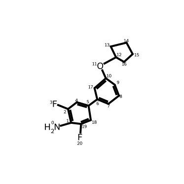 Nc1c(F)cc(-c2cccc(OC3CCCC3)c2)cc1F